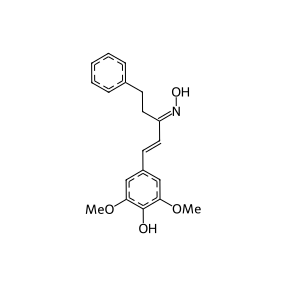 COc1cc(/C=C/C(CCc2ccccc2)=N/O)cc(OC)c1O